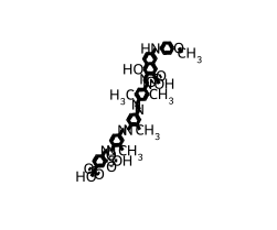 COc1ccc(Nc2ccc3c(O)c(/N=N/c4cc(C)c(N=Nc5ccc(N=Nc6ccc(N=Nc7ccc(S(=O)(=O)O)cc7S(=O)(=O)O)c(C)c6)c(C)c5)cc4C)c(S(=O)(=O)O)cc3c2)cc1